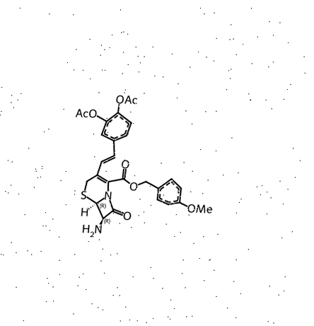 COc1ccc(COC(=O)C2=C(C=Cc3ccc(OC(C)=O)c(OC(C)=O)c3)CS[C@@H]3[C@H](N)C(=O)N23)cc1